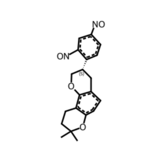 CC1(C)CCc2c(ccc3c2OC[C@H](c2ccc(N=O)cc2N=O)C3)O1